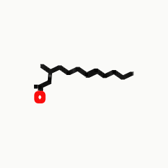 CCCCC=CCCCC(C)C[C]=O